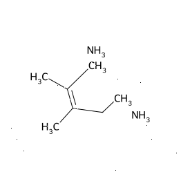 CCC(C)=C(C)C.N.N